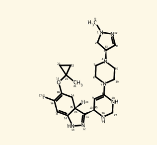 CN1C[C@H](N2CCN(C3=C[C@H](C4=NNC5=CC(F)=C(OC6(C)CC6)C[C@@H]54)NCN3)CC2)C=N1